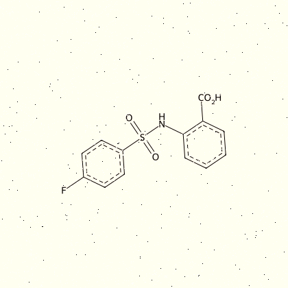 O=C(O)c1ccccc1NS(=O)(=O)c1ccc(F)cc1